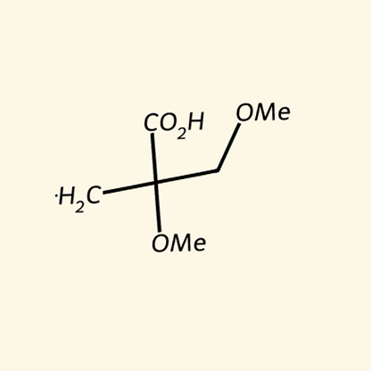 [CH2]C(COC)(OC)C(=O)O